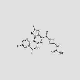 Cc1nc2nc(NC(C)c3cncc(F)c3)nc(C(=O)N3CC(NC(=O)O)C3)c2s1